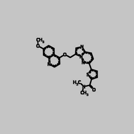 COc1ccc2c(OCc3cnc4ccc(-c5ccc(C(=O)N(C)C)s5)nn34)ccnc2c1